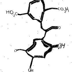 O=C(O)c1ccc(C(=O)O)c(C(=O)c2cc(Cl)c(O)cc2O)c1